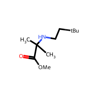 COC(=O)C(C)(C)NCCC(C)(C)C